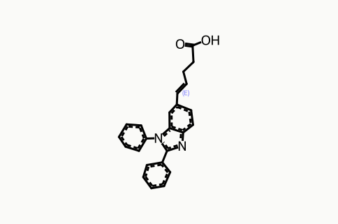 O=C(O)CC/C=C/c1ccc2nc(-c3ccccc3)n(-c3ccccc3)c2c1